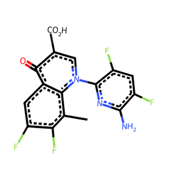 Cc1c(F)c(F)cc2c(=O)c(C(=O)O)cn(-c3nc(N)c(F)cc3F)c12